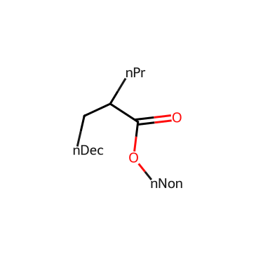 CCCCCCCCCCCC(CCC)C(=O)OCCCCCCCCC